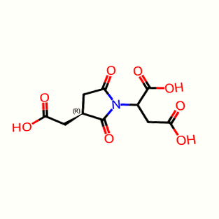 O=C(O)CC(C(=O)O)N1C(=O)C[C@H](CC(=O)O)C1=O